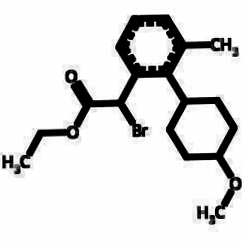 CCOC(=O)C(Br)c1cccc(C)c1C1CCC(OC)CC1